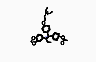 CC/C(=C(/c1ccc(OCCN(CC)CC)cc1)c1ccc(OC(C)=O)cc1)c1ccc2c(c1)OCO2